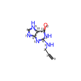 C#CCNc1nc2nc[nH]c2c(=O)[nH]1